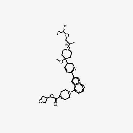 COC1(C2C=CC(c3cc4c(N5CCN(C(=O)OC6COC6)CC5)ccnn4c3)=NC2)CCN([C@H](C)COC(F)F)CC1